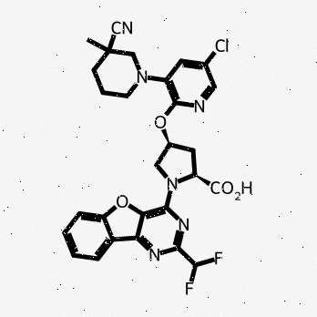 CC1(C#N)CCCN(c2cc(Cl)cnc2O[C@H]2C[C@@H](C(=O)O)N(c3nc(C(F)F)nc4c3oc3ccccc34)C2)C1